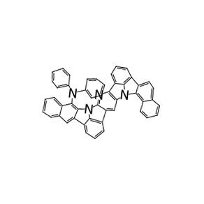 c1ccc(N(c2ccccc2)c2c3ccccc3cc3c4cccc5c6cc7c(nc6n(c23)c54)c2cccc3c4ccc5ccccc5c4n7c32)cc1